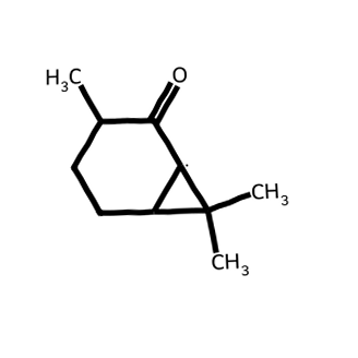 CC1CCC2[C](C1=O)C2(C)C